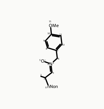 CCCCCCCCCC(C)C=[N+]([O-])Cc1ccc(OC)cc1